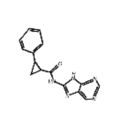 O=C(Nc1nc2cncnc2[nH]1)C1CC1c1ccccc1